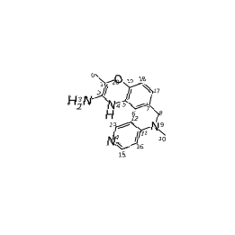 CC1=C(N)Nc2cc(CN(C)c3ccncc3)ccc2O1